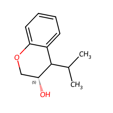 CC(C)C1c2ccccc2OC[C@H]1O